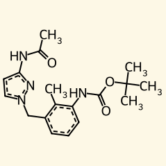 CC(=O)Nc1ccn(Cc2cccc(NC(=O)OC(C)(C)C)c2C)n1